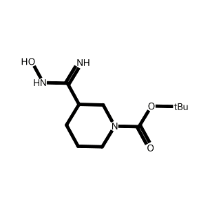 CC(C)(C)OC(=O)N1CCCC(C(=N)NO)C1